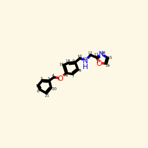 c1ccc(COc2ccc(CNCc3ncco3)cc2)cc1